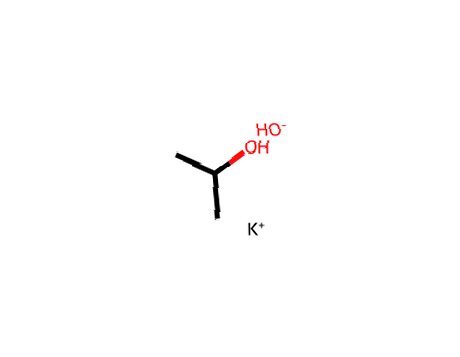 CC(C)O.[K+].[OH-]